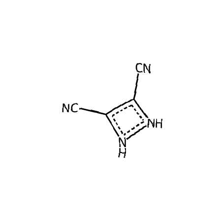 N#Cc1[nH][nH]c1C#N